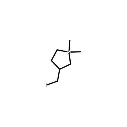 CS1(C)CCC(CI)C1